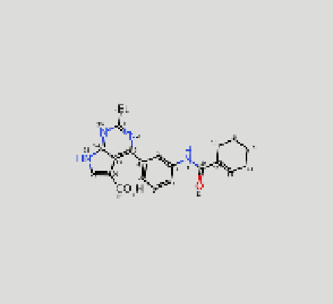 CCc1nc(-c2cccc(NC(=O)C3=CCCCC3)c2)c2c(C(=O)O)c[nH]c2n1